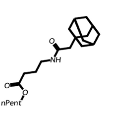 CCCCCOC(=O)CCCNC(=O)CC12CC3CC(CC(C3)C1)C2